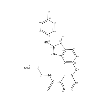 CC(=O)NCCNC(=O)c1cc(Oc2ccc3c(c2)nc(Nc2ccc(C)cc2)n3C)ccn1